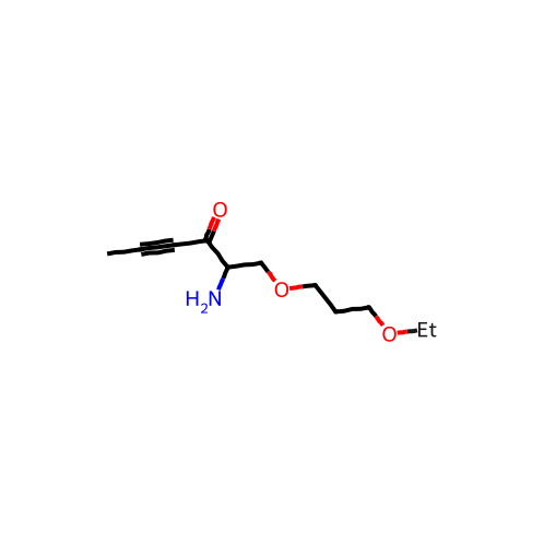 CC#CC(=O)C(N)COCCCOCC